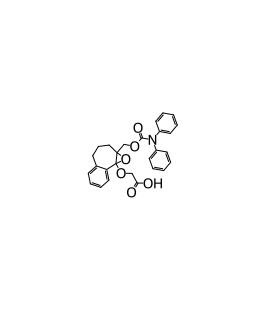 O=C(O)COC12OC1(COC(=O)N(c1ccccc1)c1ccccc1)CCCc1ccccc12